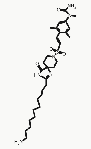 Cc1cc(N(C)C(N)=O)cc(C)c1C=CS(=O)(=O)N1CCC2(CC1)N=C(CCCCCCCCCCCN)NC2=O